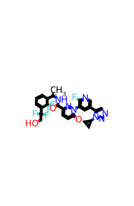 C[C@@H](NC(=O)c1ccc(=O)n(-c2cc(-c3cnnn3C3CC3)cnc2F)n1)C1C=CC=C(C(F)(F)CO)C1(F)F